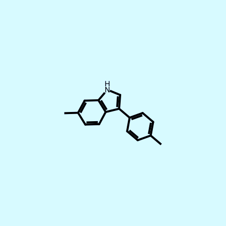 Cc1ccc(-c2c[nH]c3cc(C)ccc23)cc1